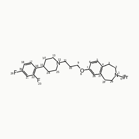 CC(C)N1CCc2ccc(OCCCN3CCC(c4ccc(F)cc4F)CC3)cc2CC1